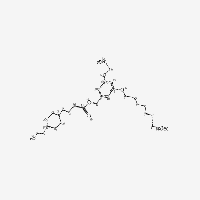 CCCCCCCCCCCCCCCCCOc1cc(COC(=O)CCCN2CCN(CCO)CC2)cc(OCCCCCCCCCCC)c1